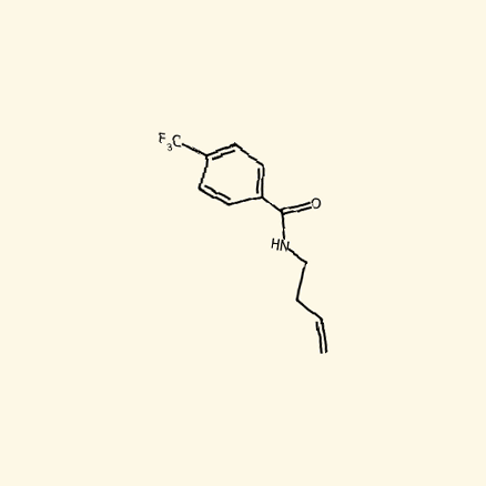 C=CCCNC(=O)c1ccc(C(F)(F)F)cc1